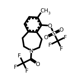 Cc1ccc2c(c1OS(=O)(=O)C(F)(F)F)CCN(C(=O)C(F)(F)F)CC2